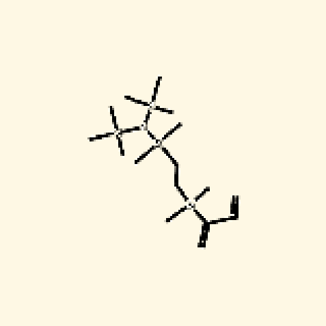 C=CC(=C)[Si](C)(C)CC[Si](C)(C)N([Si](C)(C)C)[Si](C)(C)C